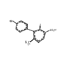 CC(C)(C)c1ccc(-c2c(C(F)(F)F)ccc(S(=O)(=O)O)c2I)cc1